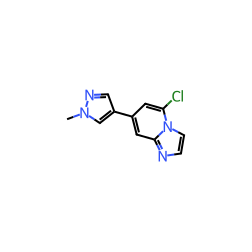 Cn1cc(-c2cc(Cl)n3ccnc3c2)cn1